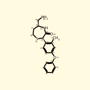 Cc1cc(Oc2ccccc2)ccc1[C@H]1SCC[C@@H](CN)NC1=O